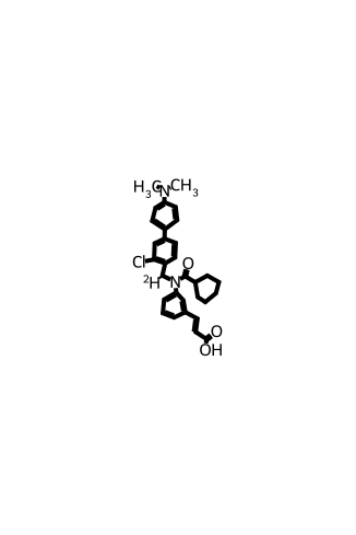 [2H][C@H](c1ccc(-c2ccc(N(C)C)cc2)cc1Cl)N(C(=O)C1CCCCC1)c1cccc(/C=C/C(=O)O)c1